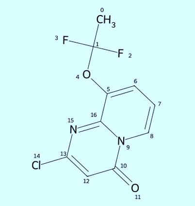 CC(F)(F)Oc1cccn2c(=O)cc(Cl)nc12